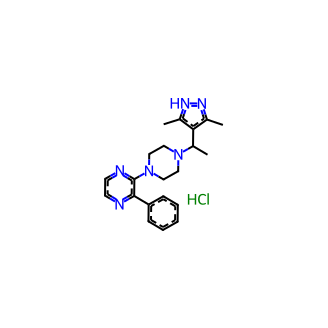 Cc1n[nH]c(C)c1C(C)N1CCN(c2nccnc2-c2ccccc2)CC1.Cl